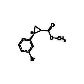 COC(=O)C1C[C@@H]1c1cccc(Br)c1